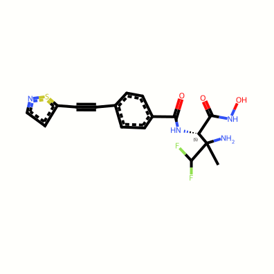 CC(N)(C(F)F)[C@H](NC(=O)c1ccc(C#Cc2ccns2)cc1)C(=O)NO